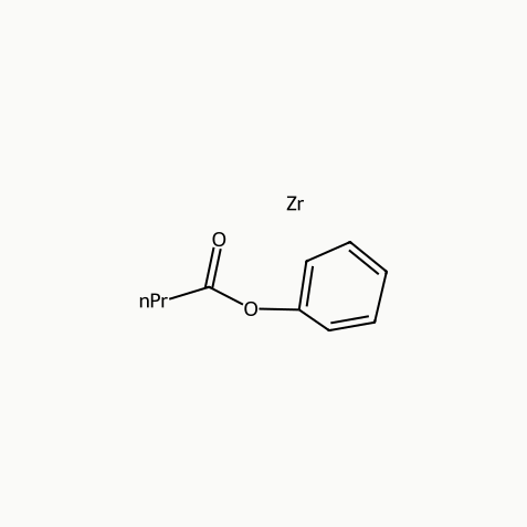 CCCC(=O)Oc1ccccc1.[Zr]